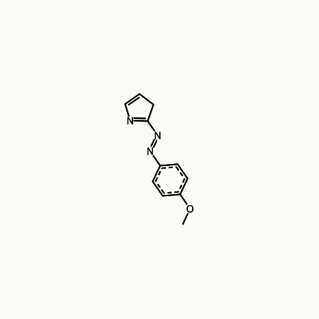 COc1ccc(N=NC2=NC=CC2)cc1